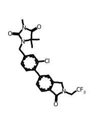 CN1C(=O)N(Cc2ccc(-c3ccc4c(c3)CN(CC(F)(F)F)C4=O)c(Cl)c2)C(C)(C)C1=O